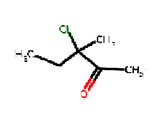 [CH2]C(=O)C(C)(Cl)CC